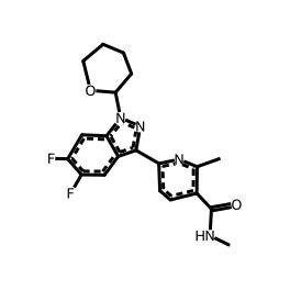 CNC(=O)c1ccc(-c2nn(C3CCCCO3)c3cc(F)c(F)cc23)nc1C